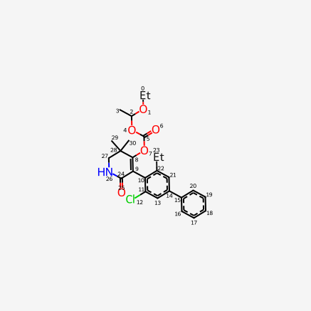 CCOC(C)OC(=O)OC1=C(c2c(Cl)cc(-c3ccccc3)cc2CC)C(=O)NCC1(C)C